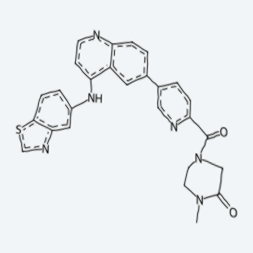 CN1CCN(C(=O)c2ccc(-c3ccc4nccc(Nc5ccc6scnc6c5)c4c3)cn2)CC1=O